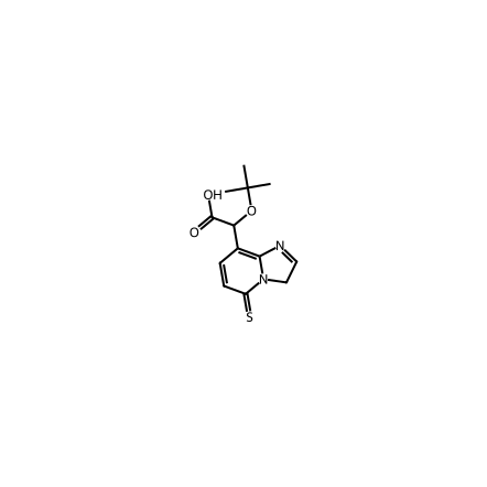 CC(C)(C)OC(C(=O)O)c1ccc(=S)n2c1N=CC2